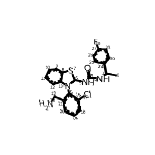 CC(NC(=O)NC1Sc2ccccc2N1c1c(Cl)cccc1CN)c1ccc(F)cc1